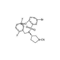 COc1ccc(Br)cc1S(=O)(=O)N(Cc1cc(F)ccc1F)[C@@H]1CCN(C#N)C1